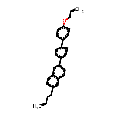 C=CCCc1ccc2cc(-c3ccc(-c4ccc(OCC=C)cc4)cc3)ccc2c1